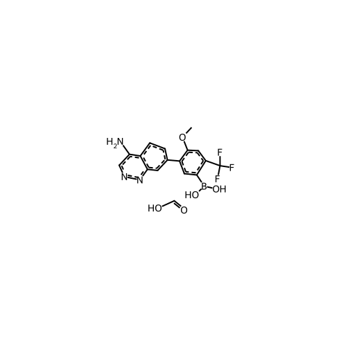 COc1cc(C(F)(F)F)c(B(O)O)cc1-c1ccc2c(N)cnnc2c1.O=CO